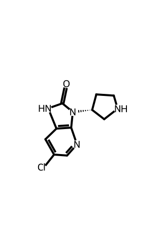 O=c1[nH]c2cc(Cl)cnc2n1[C@@H]1CCNC1